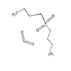 CCCCS(=O)(=O)CCCC.O=S=O